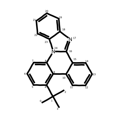 CC(C)(C)c1cccc2c1c1ccccc1c1nc3ccccc3n21